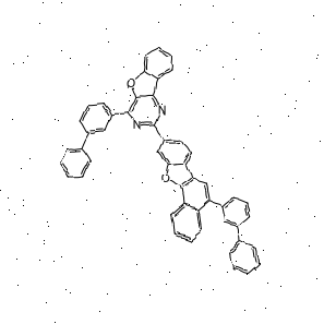 c1ccc(-c2cccc(-c3cc4c5ccc(-c6nc(-c7cccc(-c8ccccc8)c7)c7oc8ccccc8c7n6)cc5oc4c4ccccc34)c2)cc1